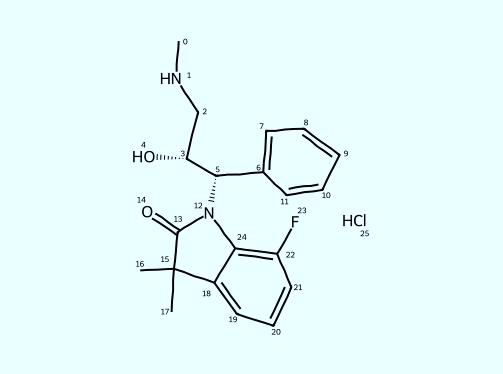 CNC[C@@H](O)[C@H](c1ccccc1)N1C(=O)C(C)(C)c2cccc(F)c21.Cl